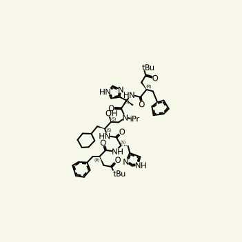 CC(C)N(C[C@H](O)[C@H](CC1CCCCC1)NC(=O)[C@H](Cc1c[nH]cn1)NC(=O)[C@@H](CC(=O)C(C)(C)C)Cc1ccccc1)C(=O)[C@@](C)(NC(=O)[C@@H](CC(=O)C(C)(C)C)Cc1ccccc1)c1c[nH]cn1